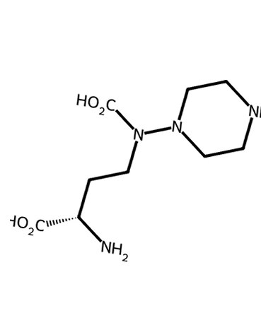 N[C@@H](CCN(C(=O)O)N1CCNCC1)C(=O)O